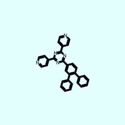 c1ccc(-c2ccc(-c3nc(-c4ccncc4)nc(-c4ccncc4)n3)cc2-c2ccccc2)cc1